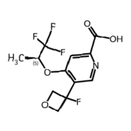 C[C@H](Oc1cc(C(=O)O)ncc1C1(F)COC1)C(F)(F)F